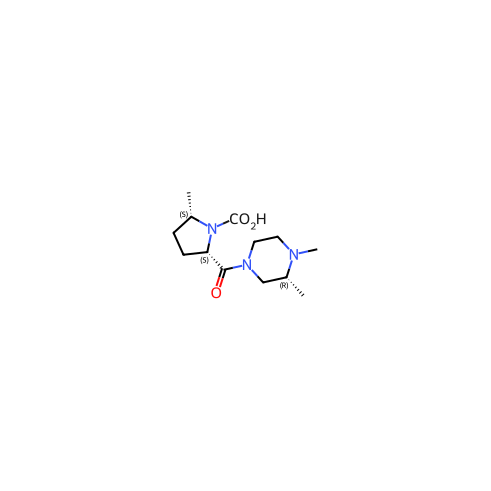 C[C@@H]1CN(C(=O)[C@@H]2CC[C@H](C)N2C(=O)O)CCN1C